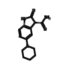 NC(=O)C1C(=O)Nc2c[c]c(N3CCCCC3)cc21